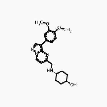 COc1ccc(-c2cnn3ccc(CN[C@H]4CC[C@H](O)CC4)nc23)cc1OC